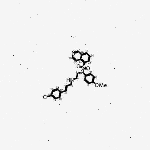 COc1ccc(N(CCNCC=Cc2ccc(Cl)cc2)S(=O)(=O)c2cccc3cnccc23)cc1